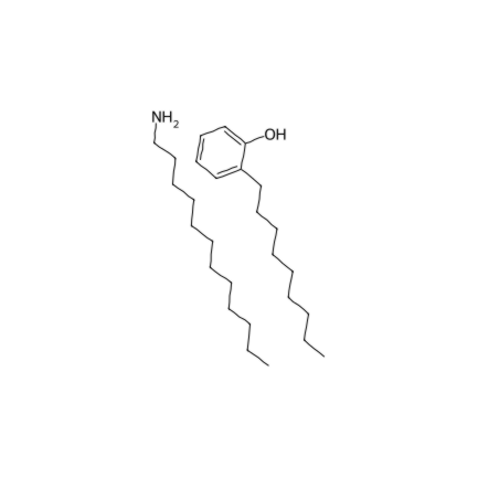 CCCCCCCCCCCCN.CCCCCCCCCc1ccccc1O